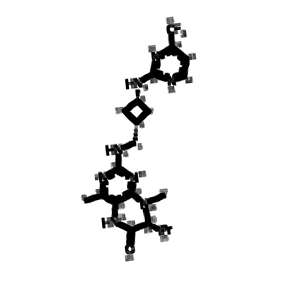 Cc1nc(NC[C@H]2C[C@@H](Nc3nccc(C(F)(F)F)n3)C2)nc2c1NC(=O)[C@H](C(C)C)N2C